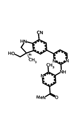 CNC(=O)c1cnc(C)c(Nc2nccc(-c3cc(C#N)c4c(c3)[C@@](C)(CO)CN4)n2)c1